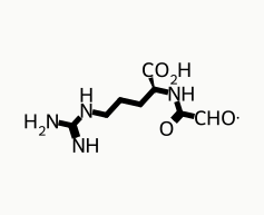 N=C(N)NCCC[C@H](NC(=O)[C]=O)C(=O)O